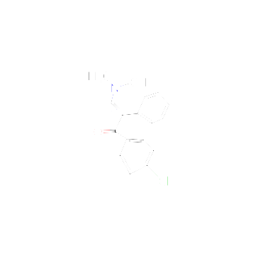 CN(C)/C=C(/C(=O)c1ccc(Cl)cc1)c1ccccc1